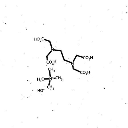 C[N+](C)(C)C.O=C(O)CN(CCN(CC(=O)O)CC(=O)O)CC(=O)O.[OH-]